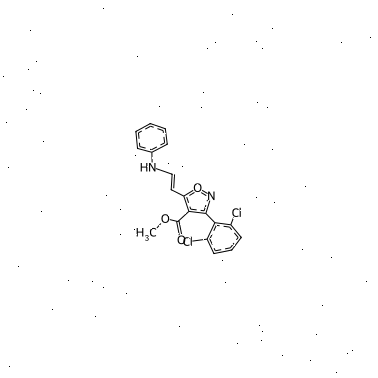 COC(=O)c1c(-c2c(Cl)cccc2Cl)noc1/C=C/Nc1ccccc1